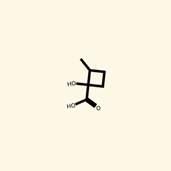 CC1CCC1(O)C(=O)O